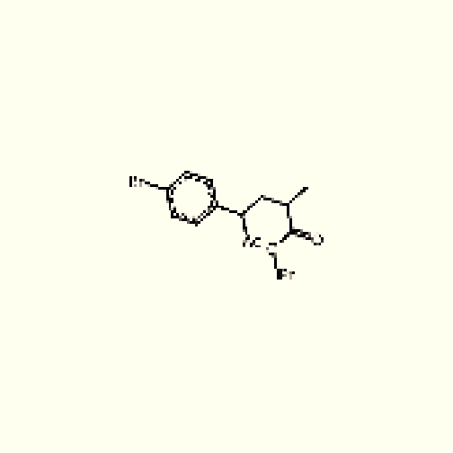 CC(=O)C(CC(C)C(=O)OC(C)C)c1ccc(Br)cc1